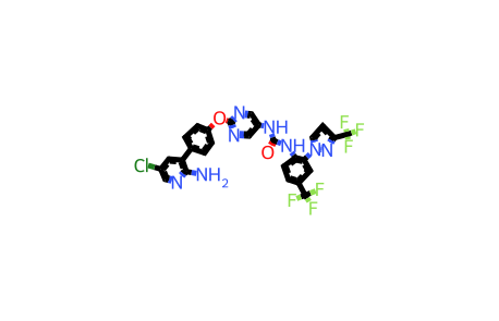 Nc1ncc(Cl)cc1-c1ccc(Oc2ncc(NC(=O)Nc3ccc(C(F)(F)F)cc3-n3ccc(C(F)(F)F)n3)cn2)cc1